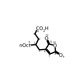 CCCCCCCCC(CCC(=O)O)CC1=CC(=O)OC1=O